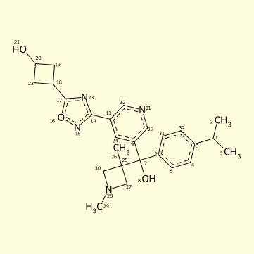 CC(C)c1ccc(C(O)(c2cncc(-c3noc(C4CC(O)C4)n3)c2)C2(C)CN(C)C2)cc1